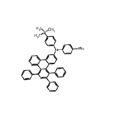 CC(C)(C)c1ccc(N(c2ccc([Si](C)(C)C)cc2)c2ccc3c(c2)c2ccccc2c2c(-c4ccccc4)cc(-c4ccccc4)c(-c4ccccc4)c32)cc1